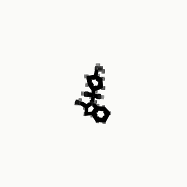 CC(=O)C1Cc2ccccc2N1S(=O)(=O)c1ccc(C)cc1